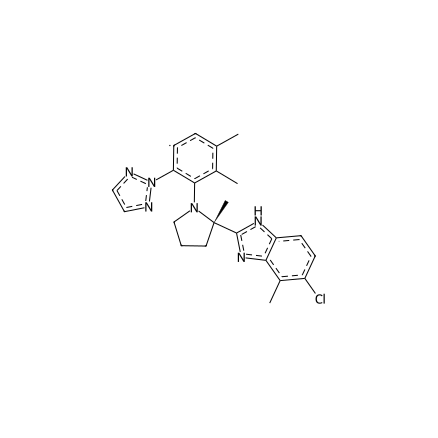 Cc1c[c]c(-n2nccn2)c(N2CCC[C@@]2(C)c2nc3c(C)c(Cl)ccc3[nH]2)c1C